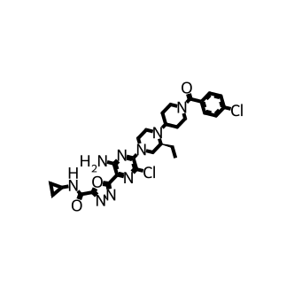 CC[C@H]1CN(c2nc(N)c(-c3nnc(C(=O)NC4CC4)o3)nc2Cl)CCN1C1CCN(C(=O)c2ccc(Cl)cc2)CC1